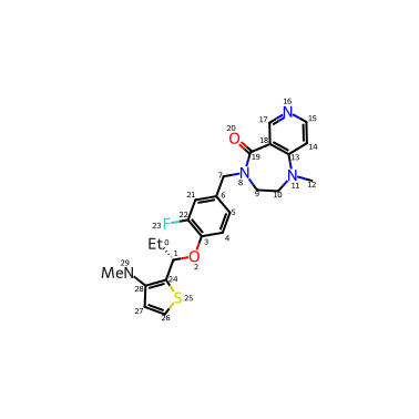 CC[C@H](Oc1ccc(CN2CCN(C)c3ccncc3C2=O)cc1F)c1sccc1NC